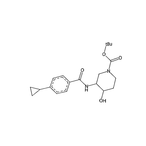 CC(C)(C)OC(=O)N1CCC(O)C(NC(=O)c2ccc(C3CC3)cc2)C1